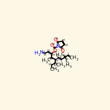 C=CC(C)(C)/C=C/[C@@H]([C@H](C)CC)[C@H](C)/C(=C\CN)OC(=O)N1C(=O)C=CC1=O